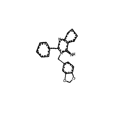 N=c1c2ccccc2nc(-c2ccccc2)n1Cc1ccc2c(c1)OCO2